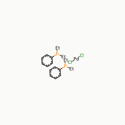 CCP(CC)c1ccccc1.CCP(CC)c1ccccc1.[Cl][Pd][Cl]